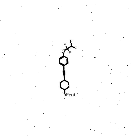 CCCCCC1CCC(C#Cc2ccc(OC(F)(F)C(F)F)cc2)CC1